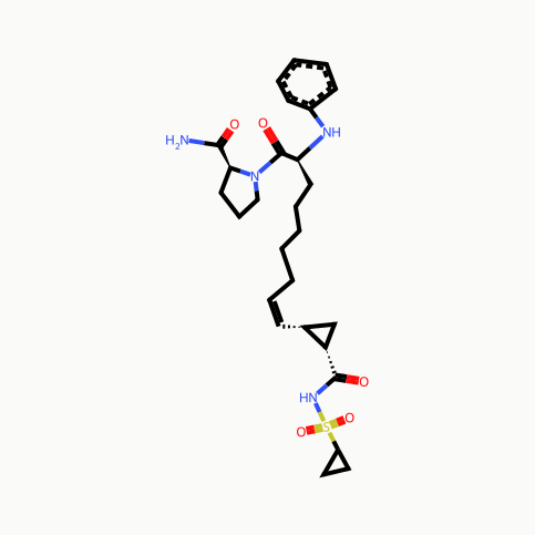 NC(=O)[C@@H]1CCCN1C(=O)[C@H](CCCCC/C=C\[C@@H]1C[C@@H]1C(=O)NS(=O)(=O)C1CC1)Nc1ccccc1